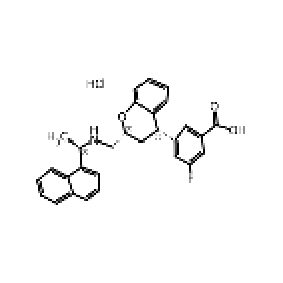 C[C@@H](NC[C@H]1C[C@@H](c2cc(F)cc(C(=O)O)c2)c2ccccc2O1)c1cccc2ccccc12.Cl